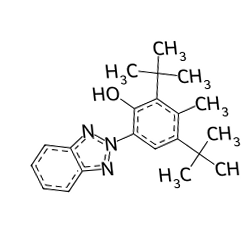 Cc1c(C(C)(C)C)cc(-n2nc3ccccc3n2)c(O)c1C(C)(C)C